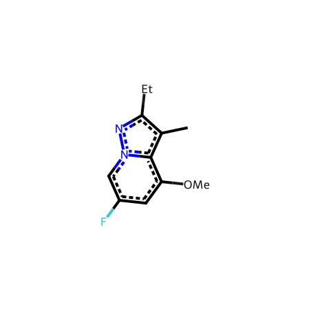 CCc1nn2cc(F)cc(OC)c2c1C